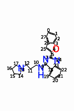 c1ccc2oc(-c3nc(NCCCN4CCCC4)c4ccccc4n3)cc2c1